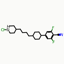 N#Cc1c(F)cc(C2CCC(CCCCC3CC[SiH](Cl)CC3)CC2)cc1F